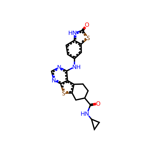 O=C(NC1CC1)C1CCc2c(sc3ncnc(Nc4ccc5[nH]c(=O)sc5c4)c23)C1